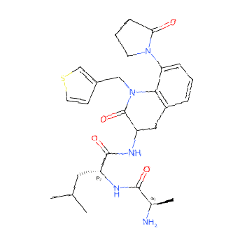 CC(C)C[C@@H](NC(=O)[C@@H](C)N)C(=O)NC1Cc2cccc(N3CCCC3=O)c2N(Cc2ccsc2)C1=O